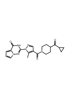 Cc1c(C(=O)N2CCC(C(=O)C3CC3)CC2)cnn1-c1nn2cccc2c(=O)[nH]1